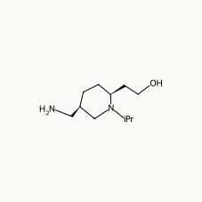 CC(C)N1C[C@@H](CN)CC[C@H]1CCO